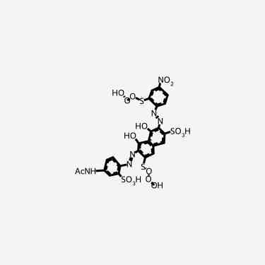 CC(=O)Nc1ccc(/N=N/c2c(SOOO)cc3cc(S(=O)(=O)O)c(/N=N/c4ccc([N+](=O)[O-])cc4SOOO)c(O)c3c2O)c(S(=O)(=O)O)c1